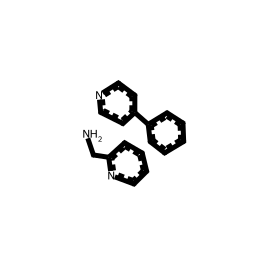 NCc1ccccn1.c1ccc(-c2ccncc2)cc1